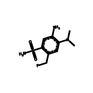 CN(C)c1cc(CF)c(S(N)(=O)=O)cc1N